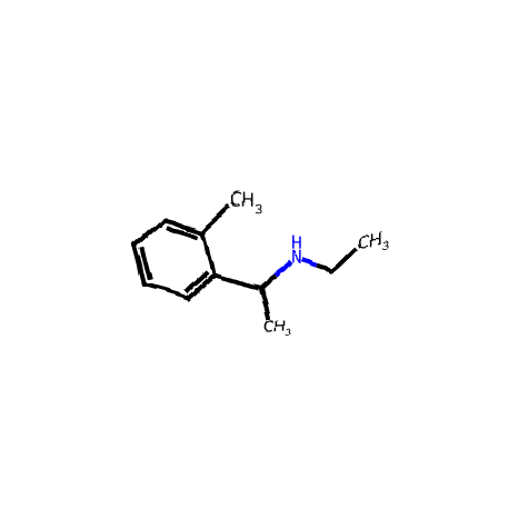 CCNC(C)c1ccccc1C